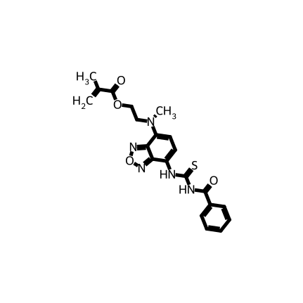 C=C(C)C(=O)OCCN(C)c1ccc(NC(=S)NC(=O)c2ccccc2)c2nonc12